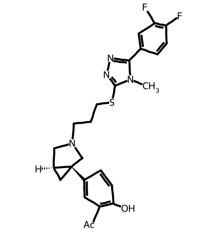 CC(=O)c1cc([C@@]23C[C@H]2CN(CCCSc2nnc(-c4ccc(F)c(F)c4)n2C)C3)ccc1O